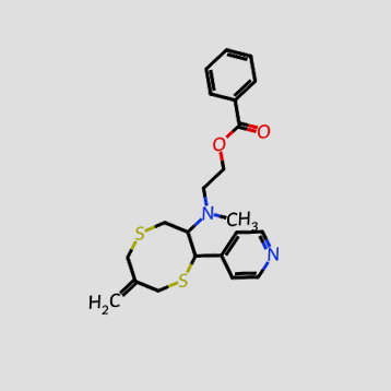 C=C1CSCC(N(C)CCOC(=O)c2ccccc2)C(c2ccncc2)SC1